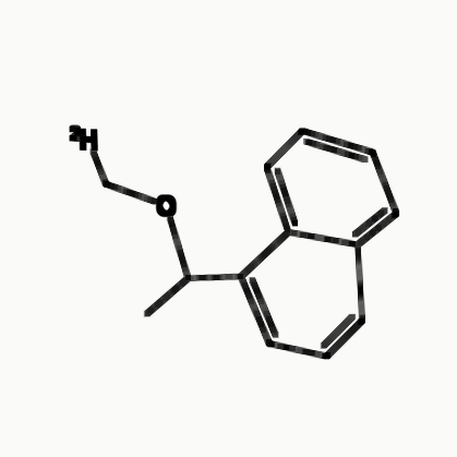 [2H]COC(C)c1cccc2ccccc12